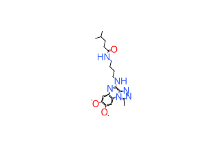 COc1cc2nc(NCCCCNC(=O)CCC(C)C)c3nnc(C)n3c2cc1OC